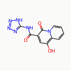 O=C(Nc1nnn[nH]1)c1cc(O)c2ccccn2c1=O